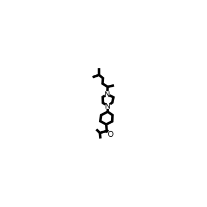 CC(C)CCC(C)N1CCN(C2CCC(C(=O)C(C)C)CC2)CC1